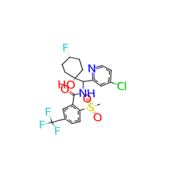 CS(=O)(=O)c1ccc(C(F)(F)F)cc1C(=O)NC(c1cc(Cl)ccn1)[C@]1(O)CC[C@@H](F)CC1